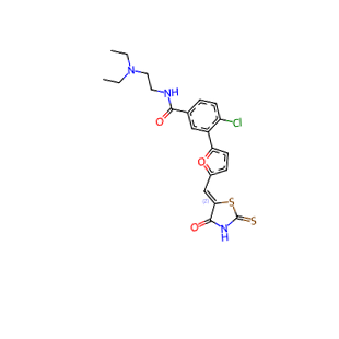 CCN(CC)CCNC(=O)c1ccc(Cl)c(-c2ccc(/C=C3\SC(=S)NC3=O)o2)c1